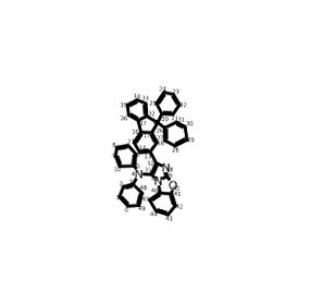 c1ccc(N(c2ccccc2)c2c(-c3ccc4c(c3)C(c3ccccc3)(c3ccccc3)c3ccccc3-4)nc3oc4ccccc4n23)cc1